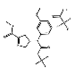 COC(=O)C1=NCC(N(C(=O)CC(C)(C)C)c2cccc(OC)c2)C1.O=C(O)C(F)(F)F